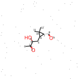 CC(=O)C(O)CC1[C@@H](C=O)C1(C)C